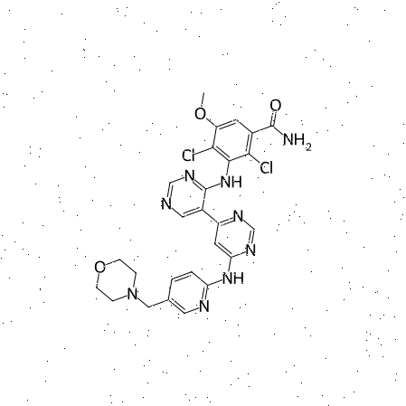 COc1cc(C(N)=O)c(Cl)c(Nc2ncncc2-c2cc(Nc3ccc(CN4CCOCC4)cn3)ncn2)c1Cl